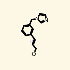 [O]C/C=C/c1cccc(Cn2ccnc2)c1